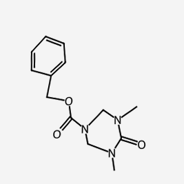 CN1CN(C(=O)OCc2ccccc2)CN(C)C1=O